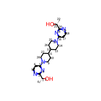 C[C@@H](O)c1nccc(N2CCC(C3CCN(c4ccnc([C@@H](C)O)n4)CC3)CC2)n1